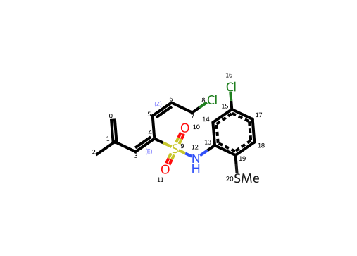 C=C(C)/C=C(\C=C/CCl)S(=O)(=O)Nc1cc(Cl)ccc1SC